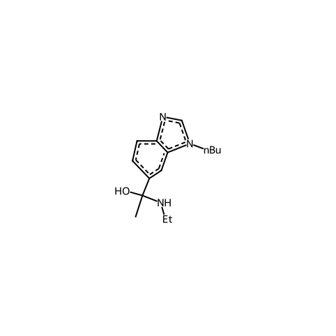 CCCCn1cnc2ccc(C(C)(O)NCC)cc21